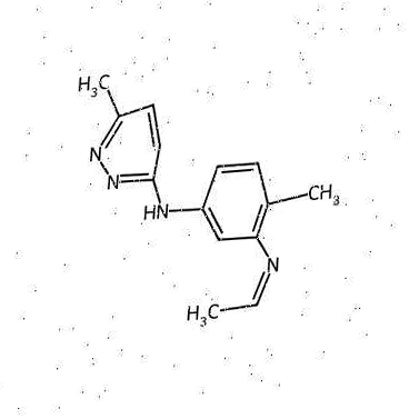 C/C=N\c1cc(Nc2ccc(C)nn2)ccc1C